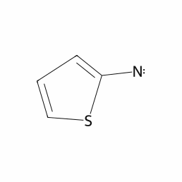 [N]c1cccs1